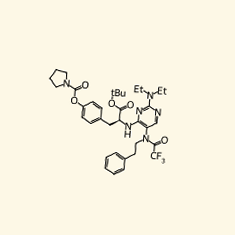 CCN(CC)c1ncc(N(CCc2ccccc2)C(=O)C(F)(F)F)c(N[C@@H](Cc2ccc(OC(=O)N3CCCC3)cc2)C(=O)OC(C)(C)C)n1